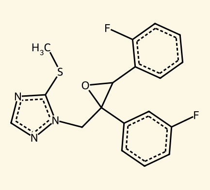 CSc1ncnn1CC1(c2cccc(F)c2)OC1c1ccccc1F